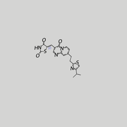 CC(C)c1csc(CCc2ccn3c(=O)c(/C=C4\SC(=O)NC4=O)cnc3c2)n1